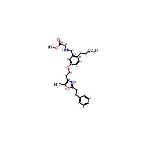 Cc1oc(CCc2ccccc2)nc1CCOc1ccc(CCC(=O)O)c(CNCC(=O)OC(C)C)c1